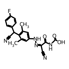 Cc1cc(N/N=C(/C#N)C(=O)NC(=O)O)cc(C)c1C(C#N)c1ccc(F)cc1